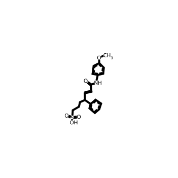 COc1ccc(NC(=O)C=CC(CCCS(=O)(=O)O)c2ccccc2)cc1